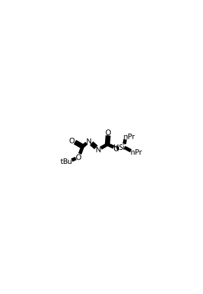 CCC[SiH](CCC)OC(=O)N=NC(=O)OC(C)(C)C